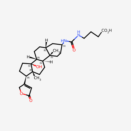 C[C@]12CC[C@H](NC(=O)NCCCC(=O)O)C[C@H]1CC[C@@H]1[C@@H]2CC[C@]2(C)[C@@H](C3=CC(=O)OC3)CC[C@]12O